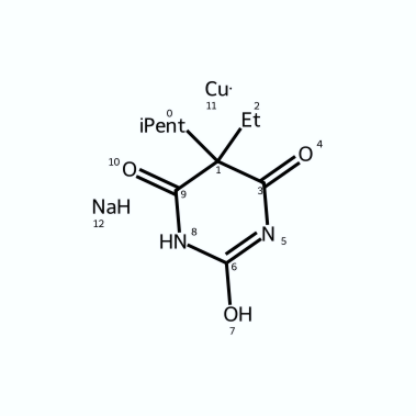 CCCC(C)C1(CC)C(=O)N=C(O)NC1=O.[Cu].[NaH]